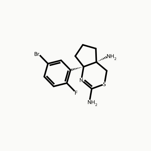 NC1=N[C@@]2(c3cc(Br)ccc3F)CCC[C@@]2(N)CS1